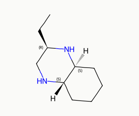 CC[C@@H]1CN[C@H]2CCCC[C@@H]2N1